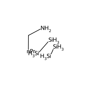 CCCCN.[SiH3][SiH3].[SiH3][SiH3]